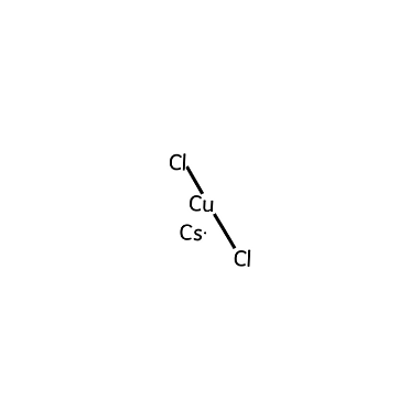 [Cl][Cu][Cl].[Cs]